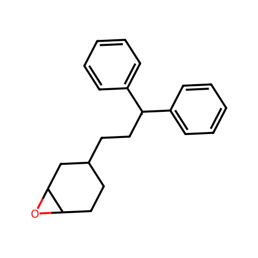 c1ccc([C](CCC2CCC3OC3C2)c2ccccc2)cc1